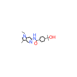 CCn1cc(C)c2cnc(NC(=O)c3ccc(C(C)(C)O)cc3)cc21